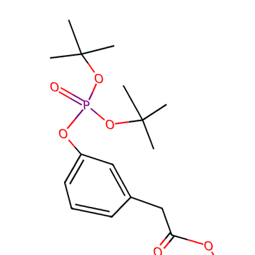 COC(=O)Cc1cccc(OP(=O)(OC(C)(C)C)OC(C)(C)C)c1